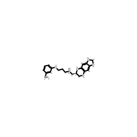 Nc1cccc(OCCCNC[C@@H]2COc3cc4c(cc3O2)OCO4)c1